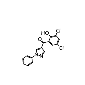 O=C(c1cnn(-c2ccccc2)c1)c1cc(Cl)cc(Cl)c1O